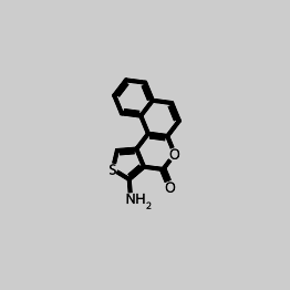 Nc1scc2c1c(=O)oc1ccc3ccccc3c12